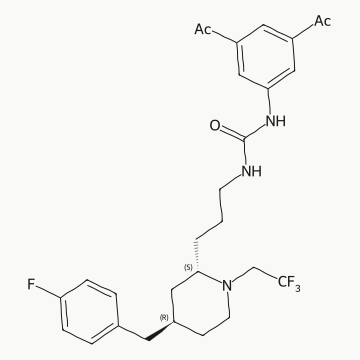 CC(=O)c1cc(NC(=O)NCCC[C@H]2C[C@H](Cc3ccc(F)cc3)CCN2CC(F)(F)F)cc(C(C)=O)c1